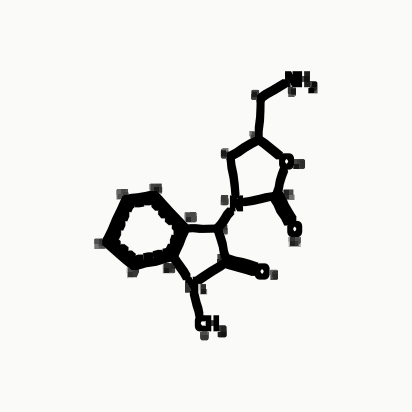 CN1C(=O)C(N2CC(CN)OC2=O)c2ccccc21